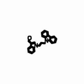 O=Cc1cn(CCCn2c3ccccc3c3ccccc32)c2ccccc12